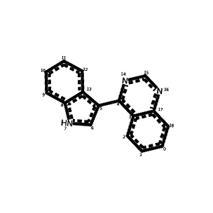 c1ccc2c(-c3c[nH]c4ccccc34)ncnc2c1